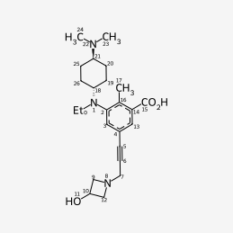 CCN(c1cc(C#CCN2CC(O)C2)cc(C(=O)O)c1C)[C@H]1CC[C@H](N(C)C)CC1